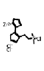 C[Si](C)(Cl)CCC1=C(C2=[C]([Zr+2])CC=C2)CC=C1.[Cl-].[Cl-]